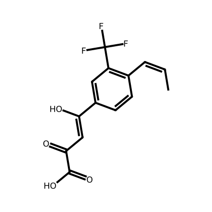 C/C=C\c1ccc(/C(O)=C/C(=O)C(=O)O)cc1C(F)(F)F